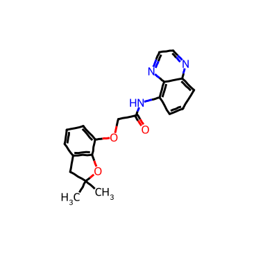 CC1(C)Cc2cccc(OCC(=O)Nc3cccc4nccnc34)c2O1